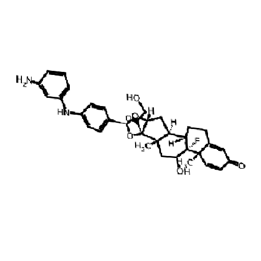 C[C@]12C=CC(=O)C=C1CC[C@H]1[C@@H]3C[C@H]4O[C@H](c5ccc(Nc6cccc(N)c6)cc5)O[C@@]4(C(=O)CO)[C@@]3(C)C[C@H](O)[C@@]12F